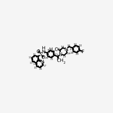 C=C(c1ccc(NS(=O)(=O)c2cccc3cccnc23)cc1)N1CCN(Cc2ccc(F)cc2)C[C@@H]1C